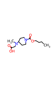 CCCCOC(=O)N1CCC(N(C)CC(=O)O)CC1